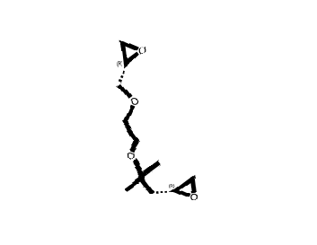 CC(C)(C[C@@H]1CO1)OCCOC[C@@H]1CO1